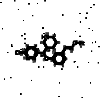 CCON=Cc1cccc(OC(c2ccc(Cl)nn2)C2CCCNC2)c1